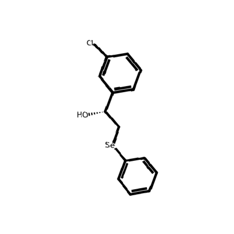 O[C@@H](C[Se]c1ccccc1)c1cccc(Cl)c1